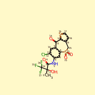 CC(O)(C(=O)Nc1cc2c(cc1Cl)C(=O)c1sccc1CS2(=O)=O)C(F)(F)F